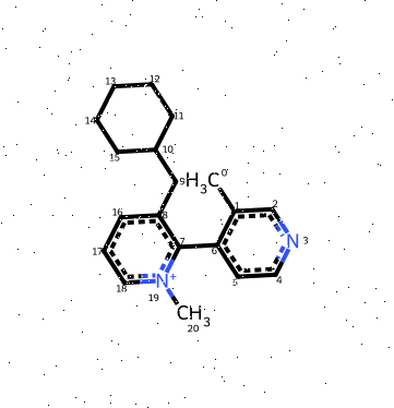 Cc1cnccc1-c1c(CC2CCCCC2)ccc[n+]1C